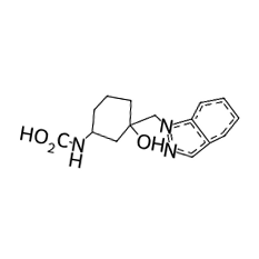 O=C(O)NC1CCCC(O)(Cn2ncc3ccccc32)C1